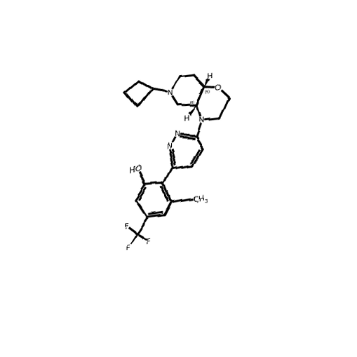 Cc1cc(C(F)(F)F)cc(O)c1-c1ccc(N2CCO[C@H]3CCN(C4CCC4)C[C@H]32)nn1